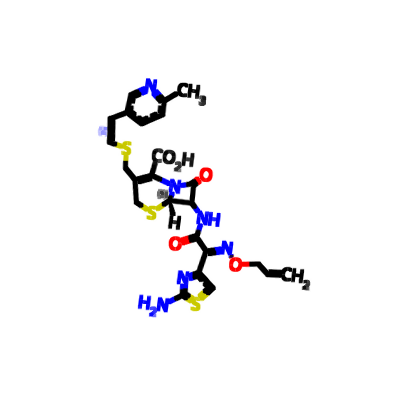 C=CCON=C(C(=O)NC1C(=O)N2C(C(=O)O)=C(CS/C=C\c3ccc(C)nc3)CS[C@@H]12)c1csc(N)n1